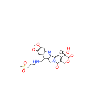 CC[C@@]1(O)C(=O)OCc2c1cc1n(c2=O)Cc2c-1nc1cc3c(cc1c2CNCCCS(C)(=O)=O)OCO3